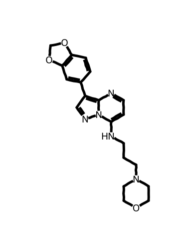 c1cc(NCCCN2CCOCC2)n2ncc(-c3ccc4c(c3)OCO4)c2n1